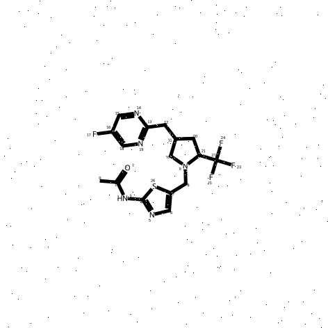 CC(=O)Nc1ncc(CN2CC(Cc3ncc(F)cn3)CC2C(F)(F)F)s1